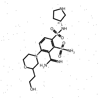 N=C(N)c1c(N2CCOC(CCO)C2)ccc(S(=O)(=O)N[C@@H]2CCNC2)c1S(N)(=O)=O